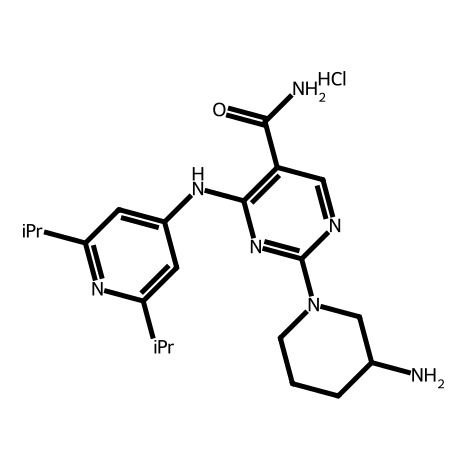 CC(C)c1cc(Nc2nc(N3CCCC(N)C3)ncc2C(N)=O)cc(C(C)C)n1.Cl